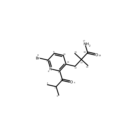 CC(C)C(=O)c1nc(Br)ccc1CC(C)(C)C(N)=O